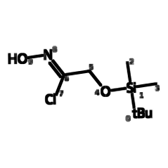 CC(C)(C)[Si](C)(C)OCC(Cl)=NO